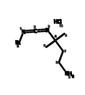 CCN=C=NC(C)(C)CCN.Cl